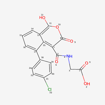 O=C(O)CNC(=O)c1c(=O)oc(O)c2cccc(-c3ccc(Cl)cc3)c12